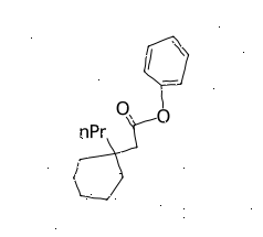 CCCC1(CC(=O)Oc2ccccc2)CCCCC1